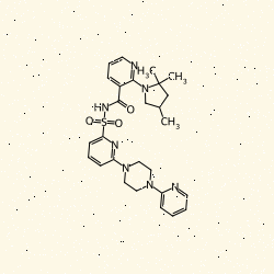 CC1CN(c2ncccc2C(=O)NS(=O)(=O)c2cccc(N3CCN(c4ccccn4)CC3)n2)C(C)(C)C1